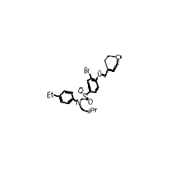 CCc1ccc(N(CC(C)C)S(=O)(=O)c2ccc(OCC3CCOCC3)c(Br)c2)cc1